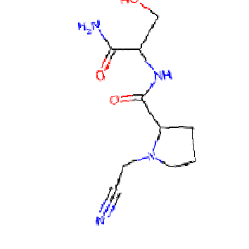 N#CCN1CCCC1C(=O)NC(CO)C(N)=O